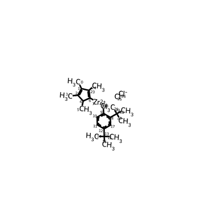 CC1=C(C)C(C)[C]([Zr+2][O]c2ccc(C(C)(C)C)cc2C(C)(C)C)=C1C.[Cl-].[Cl-]